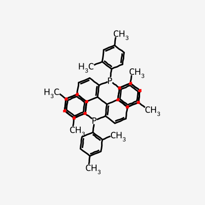 Cc1ccc(P(c2ccc(C)cc2C)c2ccc3ccccc3c2-c2c(P(c3ccc(C)cc3C)c3ccc(C)cc3C)ccc3ccccc23)c(C)c1